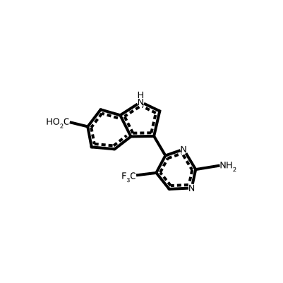 Nc1ncc(C(F)(F)F)c(-c2c[nH]c3cc(C(=O)O)ccc23)n1